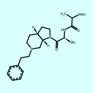 CNC(C)C(=O)N[C@H](C(=O)N1CC[C@H]2CCN(CCc3ccccc3)C[C@H]21)C(C)(C)C